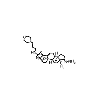 C[C@]12CCc3nc(NCCCN4CCOCC4)sc3C1=CC[C@@H]1[C@@H]2CC[C@]2(C)/C(=N/N)CC[C@@H]12